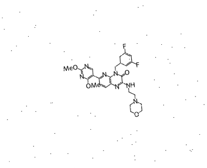 COc1ncc(-c2ccc3nc(NCCN4CCOCC4)c(=O)n(CC4C=C(F)C=C(F)C4)c3n2)c(OC)n1